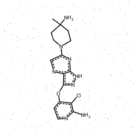 CC1(N)CCN(c2cnc3c(Oc4ccnc(N)c4Cl)n[nH]c3n2)CC1